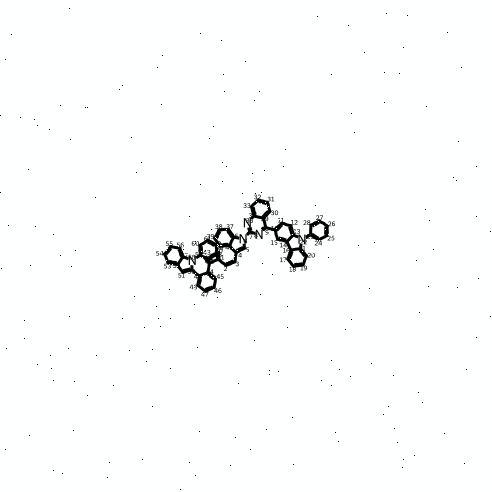 C=C(/C=C\c1cn(-c2nc(-c3ccc4c(c3)c3ccccc3n4-c3ccccc3)c3ccccc3n2)c2ccccc12)C(=C)c1ccccc1-c1cc2ccccc2n1-c1ccccc1